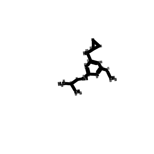 CSc1nc(NCC(C)C)nc(NC2CC2)n1